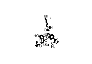 Cc1ncsc1-c1ccc([C@H](CC(=O)NCCCCCN)NC(=O)[C@@H]2C[C@@H](O)CN2C(=O)[C@@H](NC(=O)C2(F)CC2)C(C)(C)C)cc1